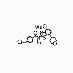 COc1ccc(C2CCOCC2)c2sc(NC(=O)c3ccc(CCl)cc3)nc12